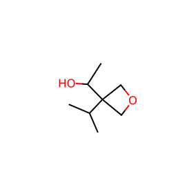 CC(C)C1(C(C)O)COC1